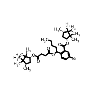 CCCCC(OC(=O)CCC(=O)O[C@@H]1C[C@H](C)C(C)(C)C1(C)C)c1ccc(Br)cc1C(=O)O[C@@H]1C[C@H](C)C(C)(C)C1(C)C